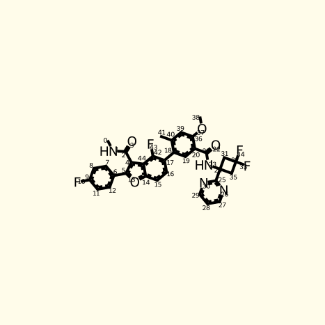 CNC(=O)c1c(-c2ccc(F)cc2)oc2ccc(-c3cc(C(=O)NC4(c5ncccn5)CC(F)(F)C4)c(OC)cc3C)c(F)c12